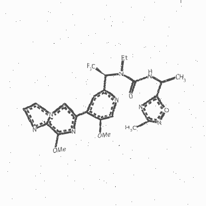 CCN(C(=O)NC(C)c1nc(C)no1)[C@@H](c1cc(-c2cn3ccnc3c(OC)n2)c(OC)cn1)C(F)(F)F